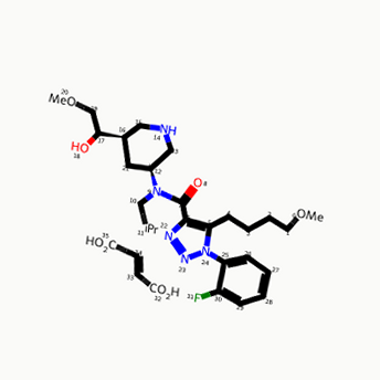 COCCCCc1c(C(=O)N(CC(C)C)[C@@H]2CNC[C@H](C(O)COC)C2)nnn1-c1ccccc1F.O=C(O)/C=C/C(=O)O